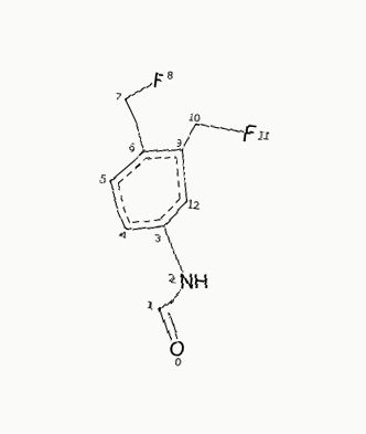 O=CNc1ccc(CF)c(CF)c1